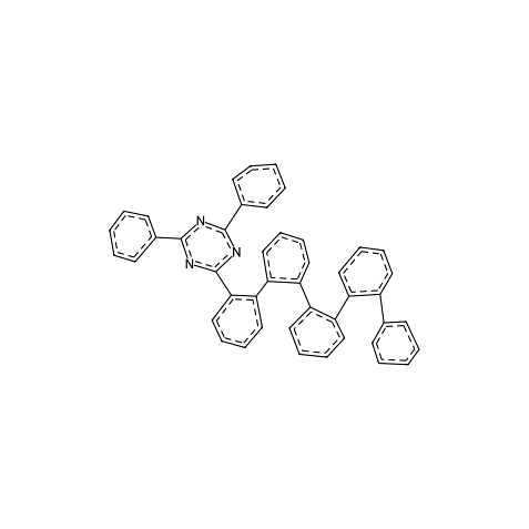 c1ccc(-c2nc(-c3ccccc3)nc(-c3ccccc3-c3ccccc3-c3ccccc3-c3ccccc3-c3ccccc3)n2)cc1